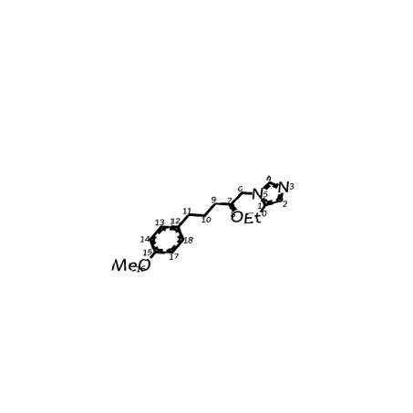 CCc1cncn1CC(=O)CCCc1ccc(OC)cc1